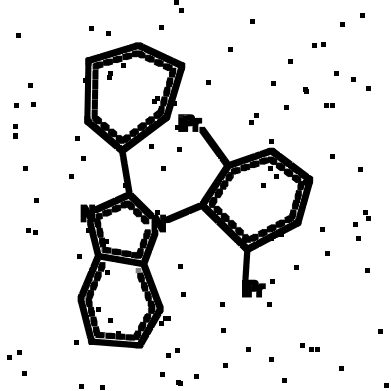 CC(C)c1cccc(C(C)C)c1-n1c(-c2ccccc2)nc2ccccc21